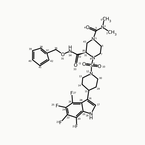 CN(C)C(=O)N1CCN(S(=O)(=O)N2CCC(c3c[nH]c4c(F)c(F)c(F)c(F)c34)CC2)[C@@H](C(=O)NOCc2ccccc2)C1